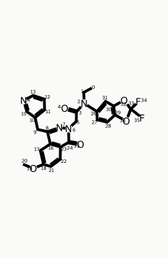 CCN(C(=O)Cn1nc(Cc2cccnc2)c2cc(OC)ccc2c1=O)c1ccc2c(c1)OC(F)(F)O2